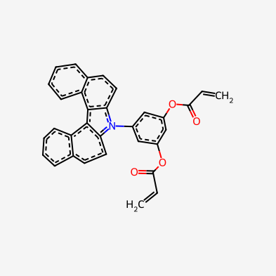 C=CC(=O)Oc1cc(OC(=O)C=C)cc(-n2c3ccc4ccccc4c3c3c4ccccc4ccc32)c1